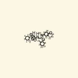 Cc1ccccc1S(=O)(=O)NC(=O)N[C@@H](Cc1ccccc1)C(=O)N(C)c1ccc2c(c1)CCCO2